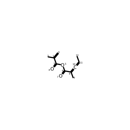 C=C(C)C(=O)OC(=O)C(C)=C=CC